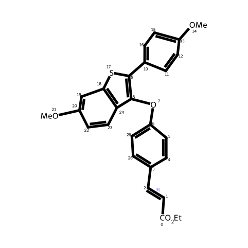 CCOC(=O)/C=C/c1ccc(Oc2c(-c3ccc(OC)cc3)sc3cc(OC)ccc23)cc1